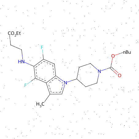 CCCCOC(=O)N1CCC(n2cc(C)c3c(F)c(NCCC(=O)OCC)c(F)cc32)CC1